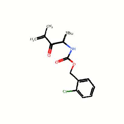 C=C(C)C(=O)C(NC(=O)OCc1ccccc1Cl)C(C)(C)C